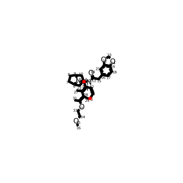 C\C=C/C(CN1C2CCC1CC(NC(=O)Cc1ccc3c(c1)OCO3)C2)=C(C)\C(C)=C(/C)OCCOC